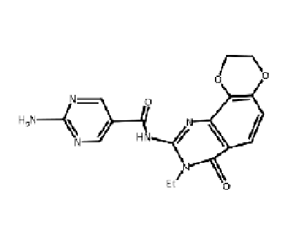 CCn1c(NC(=O)c2cnc(N)nc2)nc2c3c(ccc2c1=O)OCCO3